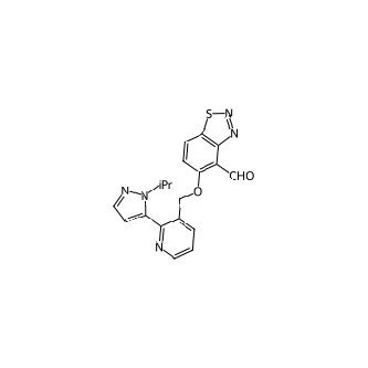 CC(C)n1nccc1-c1ncccc1COc1ccc2snnc2c1C=O